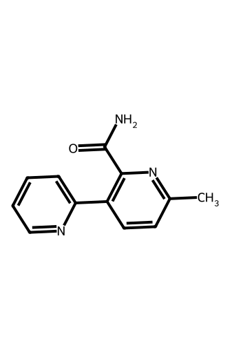 Cc1ccc(-c2ccccn2)c(C(N)=O)n1